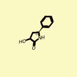 O=C1N[C@H](c2ccccc2)CC1O